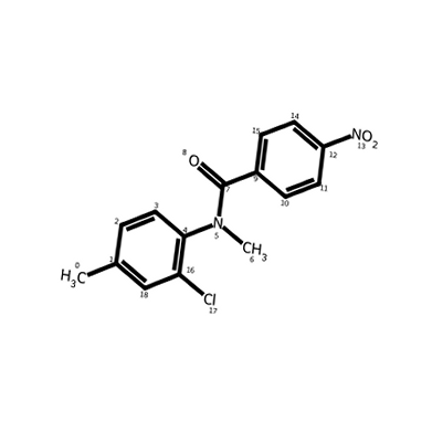 Cc1ccc(N(C)C(=O)c2ccc([N+](=O)[O-])cc2)c(Cl)c1